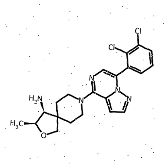 C[C@@H]1OCC2(CCN(c3ncc(-c4cccc(Cl)c4Cl)n4nccc34)CC2)[C@@H]1N